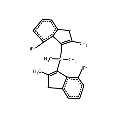 CC1=C([Si](C)(C)C2=C(C)[CH]c3cccc(C(C)C)c32)c2c(cccc2C(C)C)[CH]1